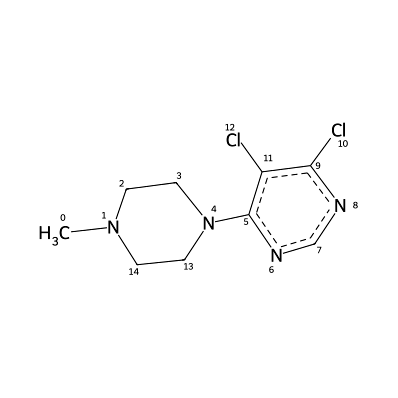 CN1CCN(c2ncnc(Cl)c2Cl)CC1